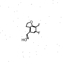 ON=Cc1cc(F)c(F)c2c1CCO2